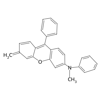 C=c1ccc2c(c1)Oc1cc(N(C)c3ccccc3)ccc1C=2c1ccccc1